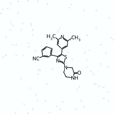 Cc1cc(-c2sc(N3CCNC(=O)C3)nc2-c2cccc(C#N)c2)cc(C)n1